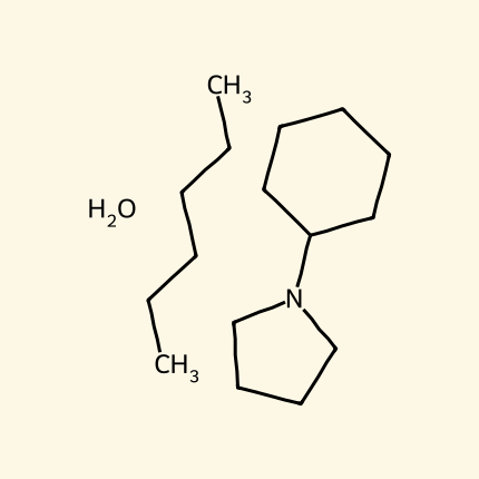 C1CCC(N2CCCC2)CC1.CCCCCC.O